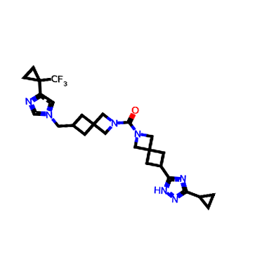 O=C(N1CC2(CC(Cn3cnc(C4(C(F)(F)F)CC4)c3)C2)C1)N1CC2(CC(c3nc(C4CC4)n[nH]3)C2)C1